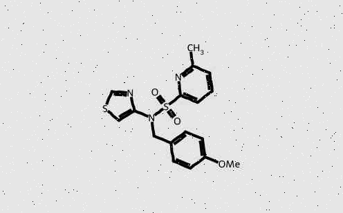 COc1ccc(CN(c2cscn2)S(=O)(=O)c2cccc(C)n2)cc1